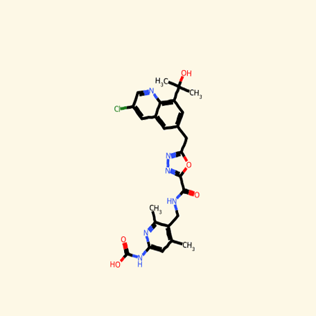 Cc1cc(NC(=O)O)nc(C)c1CNC(=O)c1nnc(Cc2cc(C(C)(C)O)c3ncc(Cl)cc3c2)o1